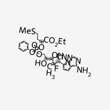 CCOC(=O)[C@H](CCSC)OP(=O)(OC[C@@H](O)[C@@H](O)[C@@](C)(F)[C@H](C#N)c1ccc2c(N)ncnn12)Oc1ccccc1